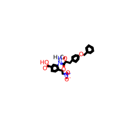 COC(Cc1ccc(OCc2ccccc2)cc1)C(=O)Nc1cc(C(=O)O)ccc1CC[N+](=O)[O-]